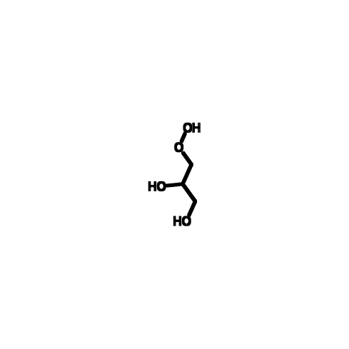 OCC(O)COO